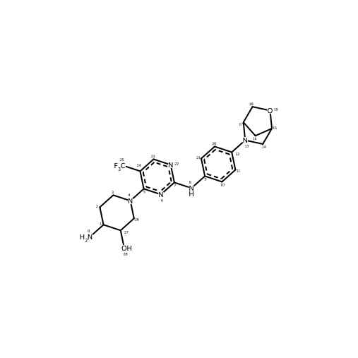 NC1CCN(c2nc(Nc3ccc(N4CC5CC4CO5)cc3)ncc2C(F)(F)F)CC1O